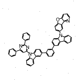 c1ccc(-c2cc(-n3c4ccccc4c4cc(-c5cccc(-c6ccc7c(c6)c6ccccc6n7-c6ccc7oc8cccnc8c7c6)c5)ccc43)nc(-c3ccccc3)n2)cc1